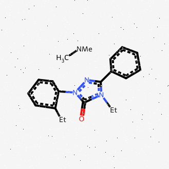 CCc1ccccc1-n1nc(-c2ccccc2)n(CC)c1=O.CNC